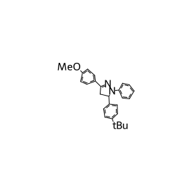 COc1ccc(C2=NN(c3ccccc3)C(c3ccc(C(C)(C)C)cc3)C2)cc1